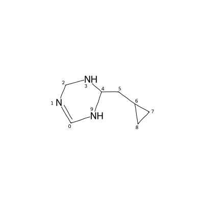 C1=NCNC(CC2CC2)N1